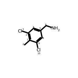 Cc1c(Cl)cc(CN)cc1Cl